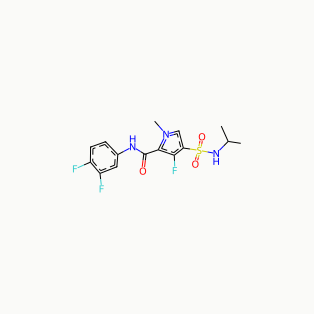 CC(C)NS(=O)(=O)c1cn(C)c(C(=O)Nc2ccc(F)c(F)c2)c1F